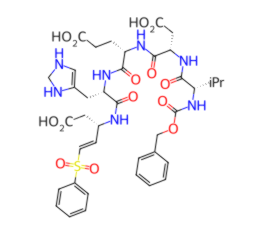 CC(C)[C@H](NC(=O)OCc1ccccc1)C(=O)N[C@@H](CC(=O)O)C(=O)N[C@@H](CCC(=O)O)C(=O)N[C@@H](CC1=CNCN1)C(=O)N[C@H](/C=C/S(=O)(=O)c1ccccc1)CC(=O)O